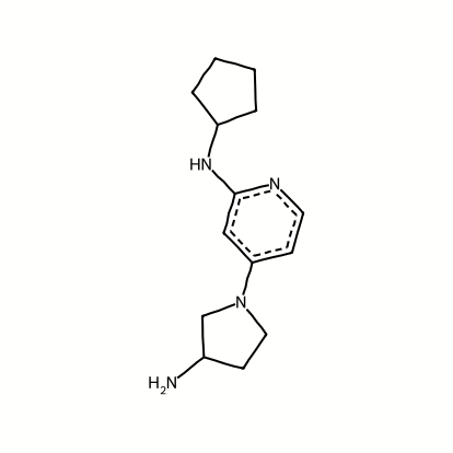 NC1CCN(c2ccnc(NC3CCCC3)c2)C1